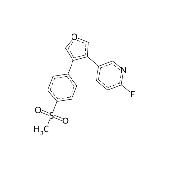 CS(=O)(=O)c1ccc(-c2cocc2-c2ccc(F)nc2)cc1